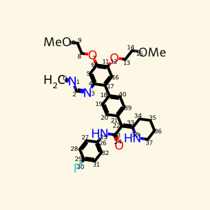 C=N/C=N\c1cc(OCCOC)c(OCCOC)cc1-c1ccc(/C(C(=O)Nc2ccc(F)cc2)=C2\CCCCN2)cc1